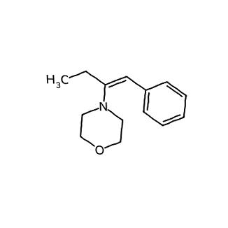 CC/C(=C/c1ccccc1)N1CCOCC1